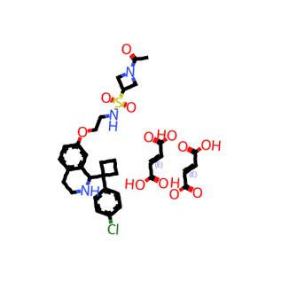 CC(=O)N1CC(S(=O)(=O)NCCOc2ccc3c(c2)C(C2(c4ccc(Cl)cc4)CCC2)NCC3)C1.O=C(O)/C=C/C(=O)O.O=C(O)/C=C/C(=O)O